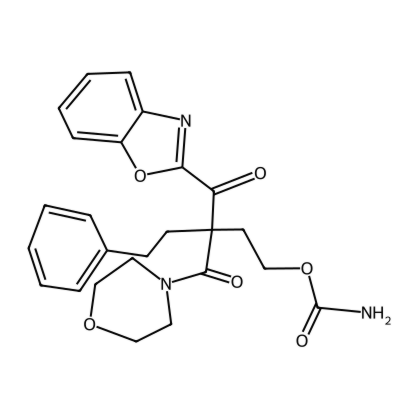 NC(=O)OCCC(CCc1ccccc1)(C(=O)c1nc2ccccc2o1)C(=O)N1CCOCC1